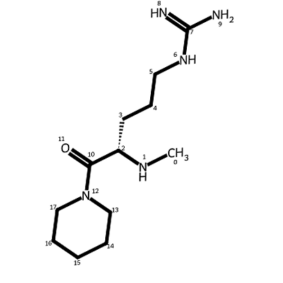 CN[C@@H](CCCNC(=N)N)C(=O)N1CCCCC1